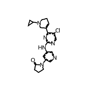 O=C1CCCN1c1cncc(Nc2ncc(Cl)c(C3=CCCN(C4CC4)C3)n2)c1